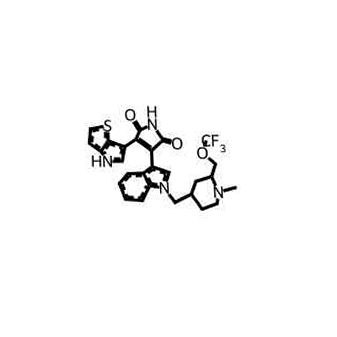 CN1CCC(Cn2cc(C3=C(c4c[nH]c5ccsc45)C(=O)NC3=O)c3ccccc32)CC1COC(F)(F)F